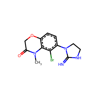 CN1C(=O)COc2ccc(N3CCNC3=N)c(Br)c21